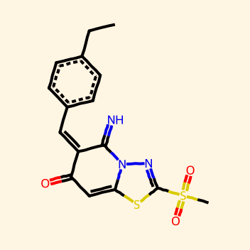 CCc1ccc(/C=C2\C(=N)N3N=C(S(C)(=O)=O)SC3=CC2=O)cc1